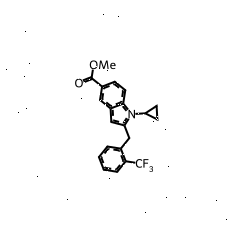 COC(=O)c1ccc2c(c1)cc(Cc1ccccc1C(F)(F)F)n2C1CC1